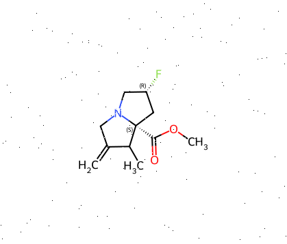 C=C1CN2C[C@H](F)C[C@@]2(C(=O)OC)C1C